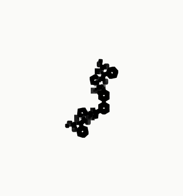 COC(=O)N[C@@H](C(=O)N1CCC[C@H]1c1nc(-c2cccc(-c3ccc4nc([C@@H]5CCCN5C(=O)[C@H](NC(=O)OC)c5ccccc5)[nH]c4c3)c2)c[nH]1)c1ccccc1